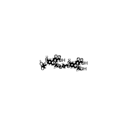 COCC1(COc2cc3c(cc2OC)-c2cc(=O)c(C(=O)O)cn2[C@H](C(C)(C)COOC2CC(COc4cc5c(cc4OC)-c4cc(=O)c(C(=O)O)cn4[C@H](C(C)(C)CO)C5)C2)C3)COC1